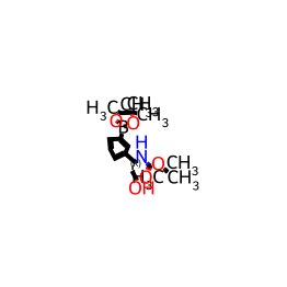 CC(C)(C)OC(=O)N[C@H](CCO)c1cccc(B2OC(C)(C)C(C)(C)O2)c1